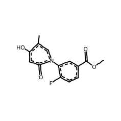 COC(=O)c1ccc(F)c(-n2cc(C)c(O)cc2=O)c1